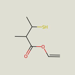 C=COC(=O)C(C)C(C)S